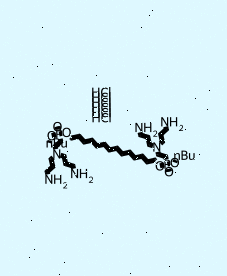 CCCCOP(=O)(CCN(CCCN)CCCN)OCCCCCCCCCCCCCCOP(=O)(CCN(CCCN)CCCN)OCCCC.Cl.Cl.Cl.Cl.Cl.Cl